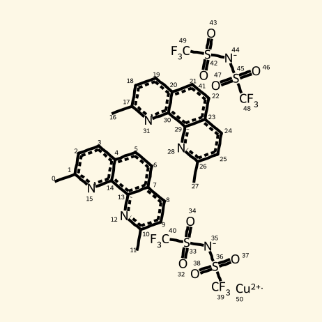 Cc1ccc2ccc3ccc(C)nc3c2n1.Cc1ccc2ccc3ccc(C)nc3c2n1.O=S(=O)([N-]S(=O)(=O)C(F)(F)F)C(F)(F)F.O=S(=O)([N-]S(=O)(=O)C(F)(F)F)C(F)(F)F.[Cu+2]